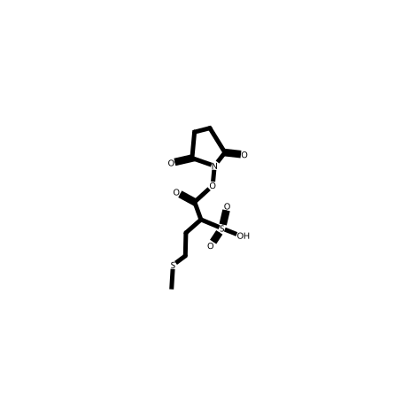 CSCCC(C(=O)ON1C(=O)CCC1=O)S(=O)(=O)O